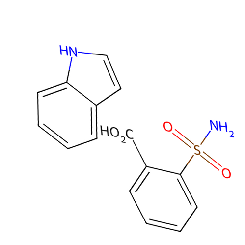 NS(=O)(=O)c1ccccc1C(=O)O.c1ccc2[nH]ccc2c1